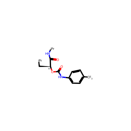 CC(C)C[C@H](OC(=O)Nc1ccc(C(F)(F)F)cc1)C(=O)NC(C)C